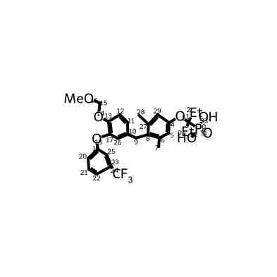 CCC(CC)(Oc1cc(C)c(Cc2ccc(OCOC)c(Oc3cccc(C(F)(F)F)c3)c2)c(C)c1)P(=O)(O)O